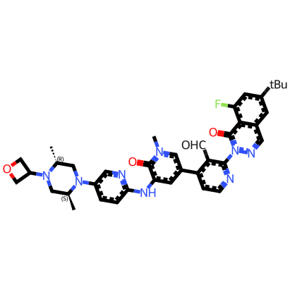 C[C@@H]1CN(c2ccc(Nc3cc(-c4ccnc(-n5ncc6cc(C(C)(C)C)cc(F)c6c5=O)c4C=O)cn(C)c3=O)nc2)[C@@H](C)CN1C1COC1